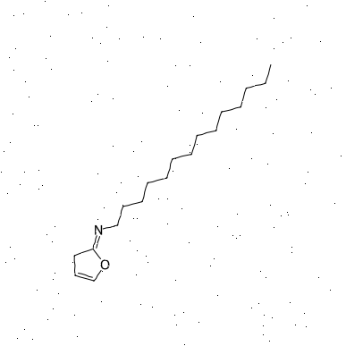 CCCCCCCCCCCCCCN=C1CC=CO1